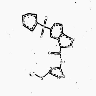 CSc1nnc(NC(=O)c2onc3ccc(S(=O)(=O)c4ccccc4)cc23)s1